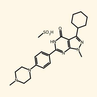 CN1CCN(c2ccc(-c3nc4c(c(C5CCCCC5)nn4C)c(=O)[nH]3)cc2)CC1.CS(=O)(=O)O